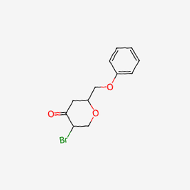 O=C1CC(COc2ccccc2)OCC1Br